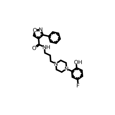 O=C(NCCCN1CCN(c2cc(F)ccc2O)CC1)c1conc1-c1ccccc1